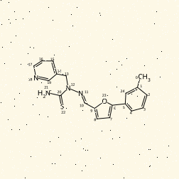 Cc1cccc(-c2ccc(C=NN(Cc3cccnc3)C(N)=S)o2)c1